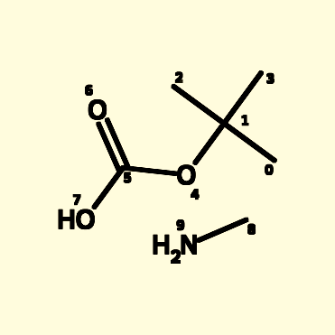 CC(C)(C)OC(=O)O.CN